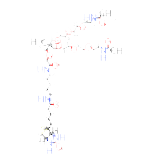 CC(=O)NCCOCCOCCOCC(C)(COCCOCCOCCNC(C)=O)COCC(=O)NCCCCCNC(=O)CCCC[C@@H]1SC[C@@H]2NC(=O)N[C@@H]21